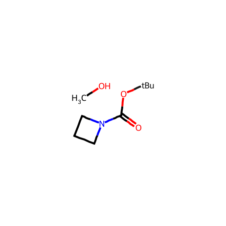 CC(C)(C)OC(=O)N1CCC1.CO